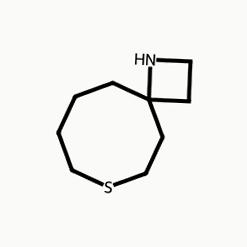 C1CCC2(CCN2)CCSC1